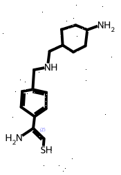 N/C(=C\S)c1ccc(CNCC2CCC(N)CC2)cc1